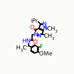 COc1ccc([C@H](C)NC(=O)Cn2nc(C)c3c(c(C(C)C)nn3C)c2=O)cc1F